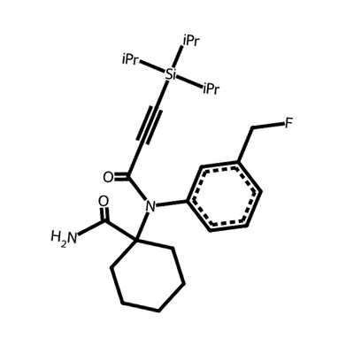 CC(C)[Si](C#CC(=O)N(c1cccc(CF)c1)C1(C(N)=O)CCCCC1)(C(C)C)C(C)C